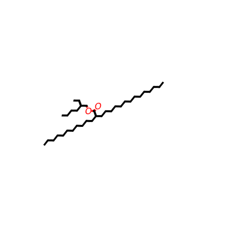 CCCCCCCCCCCCCCC(CCCCCCCCCCC)C(=O)OCC(CC)CCCC